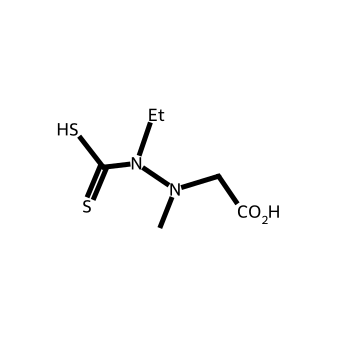 CCN(C(=S)S)N(C)CC(=O)O